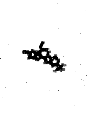 CC[S+]([O-])c1c(-c2nc3cc(C(F)(F)F)ncc3n2C)sc2cc(Cl)sc12